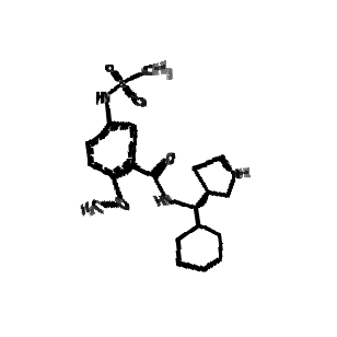 COc1ccc(NS(C)(=O)=O)cc1C(=O)NC(C1CCCCC1)C1CCNC1